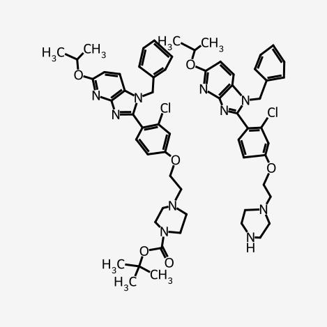 CC(C)Oc1ccc2c(n1)nc(-c1ccc(OCCN3CCN(C(=O)OC(C)(C)C)CC3)cc1Cl)n2Cc1ccccc1.CC(C)Oc1ccc2c(n1)nc(-c1ccc(OCCN3CCNCC3)cc1Cl)n2Cc1ccccc1